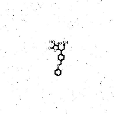 C#CCC(c1ccc(CSc2ccccc2)cc1)C1OC(=O)C(O)=C1O